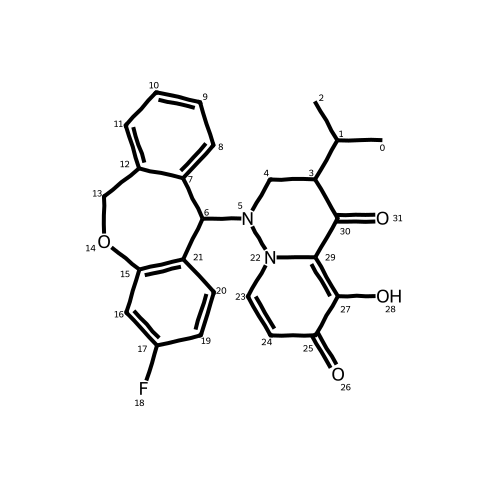 CC(C)C1CN(C2c3ccccc3COc3cc(F)ccc32)n2ccc(=O)c(O)c2C1=O